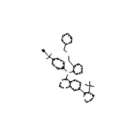 CC(C)(C#N)c1ccc(N(c2ccccc2COCc2ccccc2)c2ncnc3cc(-c4ncccc4C(F)(F)F)ccc23)cc1